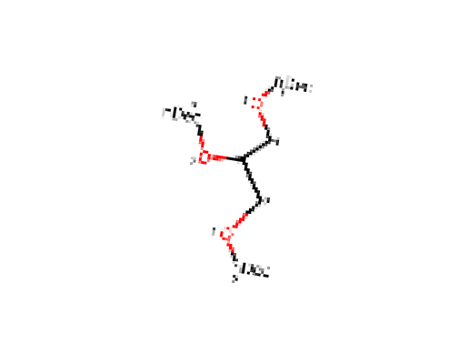 CCCCCCCCCCOCC(COCCCCCCCCCC)OCCCCCCCCCC